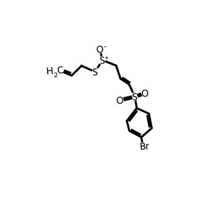 C=CCS[S+]([O-])CC=CS(=O)(=O)c1ccc(Br)cc1